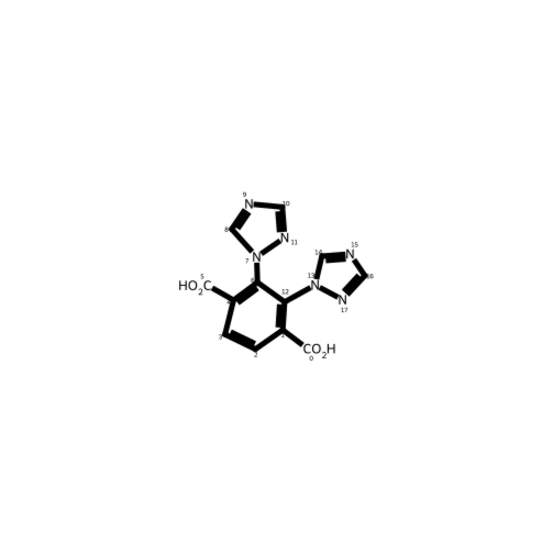 O=C(O)c1ccc(C(=O)O)c(-n2cncn2)c1-n1cncn1